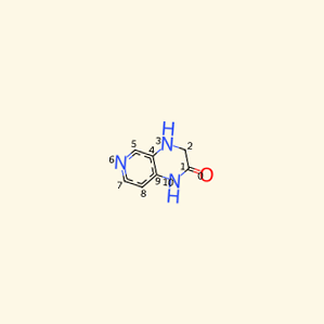 O=C1CNc2cnccc2N1